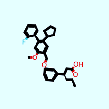 CCC[C@H](CC(=O)O)c1cccc(OCc2cc(C3CCCC3)c(-c3ccccc3F)cc2OC)c1